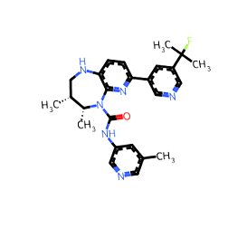 Cc1cncc(NC(=O)N2c3nc(-c4cncc(C(C)(C)F)c4)ccc3NC[C@@H](C)[C@H]2C)c1